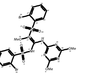 COc1nc(NC(NS(=O)(=O)c2ccccc2Br)=[N+](OC)S(=O)(=O)c2ccccc2Br)nc(OC)n1